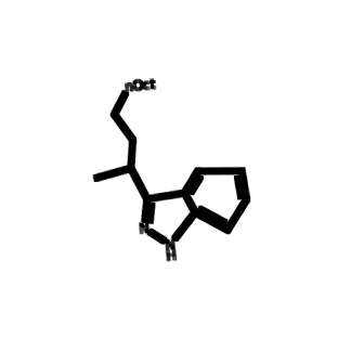 CCCCCCCCCCC(C)c1n[nH]c2ccccc12